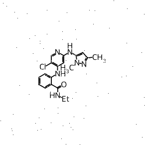 CCNC(=O)c1ccccc1Nc1cc(Nc2cc(C)nn2C)ncc1Cl